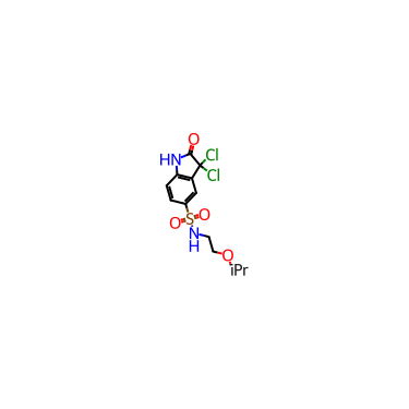 CC(C)OCCNS(=O)(=O)c1ccc2c(c1)C(Cl)(Cl)C(=O)N2